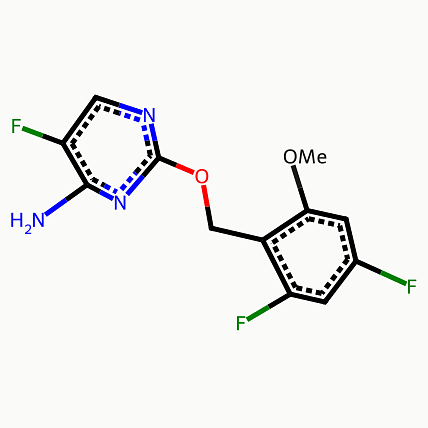 COc1cc(F)cc(F)c1COc1ncc(F)c(N)n1